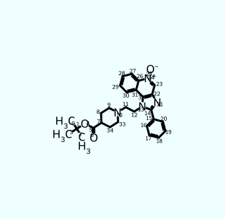 CC(C)(C)OC(=O)C1CCN(CCn2c(-c3ccccc3)nc3c[n+]([O-])c4ccccc4c32)CC1